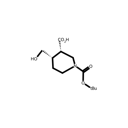 CC(C)(C)OC(=O)N1CC[C@H](CO)[C@H](C(=O)O)C1